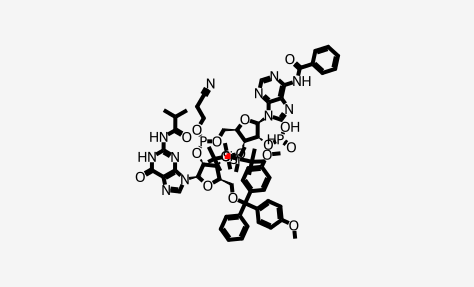 COc1ccc(C(OC[C@H]2O[C@@H](n3cnc4c(=O)[nH]c(NC(=O)C(C)C)nc43)[C@H](OP(OCCC#N)OC[C@H]3O[C@@H](n4cnc5c(NC(=O)c6ccccc6)ncnc54)[C@H](O[PH](=O)O)[C@@H]3O[Si](C)(C)C(C)(C)C)[C@@H]2O[Si](C)(C)C(C)(C)C)(c2ccccc2)c2ccc(OC)cc2)cc1